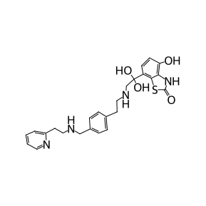 O=c1[nH]c2c(O)ccc(C(O)(O)CNCCc3ccc(CNCCc4ccccn4)cc3)c2s1